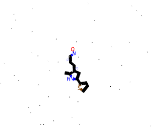 C=c1[nH]c(-c2cccs2)c/c1=C/C=C\N=O